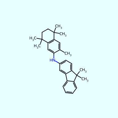 Cc1cc2c(cc1Nc1ccc3c(c1)-c1ccccc1C3(C)C)C(C)(C)CCC2(C)C